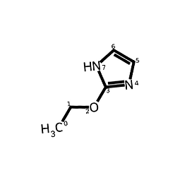 CCOc1ncc[nH]1